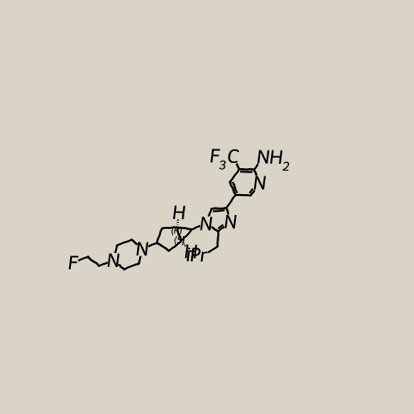 CC(C)Cc1nc(-c2cnc(N)c(C(F)(F)F)c2)cn1C1[C@H]2CC(N3CCN(CCF)CC3)C[C@@H]12